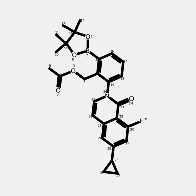 CC(=O)OCc1c(B2OC(C)(C)C(C)(C)O2)cccc1-n1ccc2cc(C3CC3)cc(F)c2c1=O